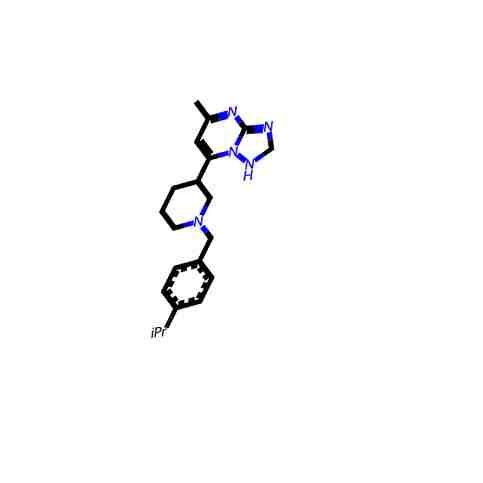 CC1=NC2=NCNN2C(C2CCCN(Cc3ccc(C(C)C)cc3)C2)=C1